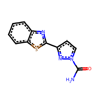 NC(=O)n1c[c]c(-c2nc3ccccc3s2)n1